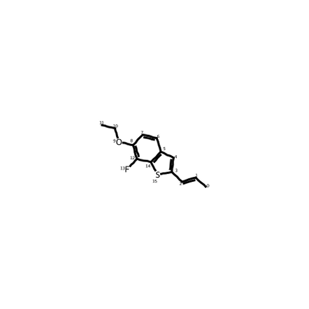 C/C=C/c1cc2ccc(OCC)c(F)c2s1